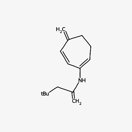 C=C1C=CC(NC(=C)CC(C)(C)C)=CCC1